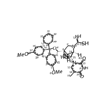 COc1ccc(C(OC[C@@]23CN(C(=N)S)[C@@H]([C@H](n4cc(C)c(=O)[nH]c4=O)O2)[C@@H]3O)(c2ccccc2)c2ccc(OC)cc2)cc1